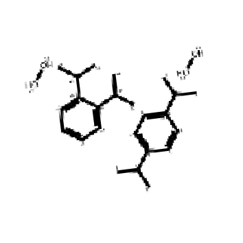 CC(C)c1ccc(C(C)C)cc1.CC(C)c1ccccc1C(C)C.OO.OO